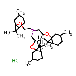 CC1CCC2C(C)(C)C2(OCCP(CCOC23CC(C)CCC2C3(C)C)CCOC23CC(C)CCC2C3(C)C)C1.Cl